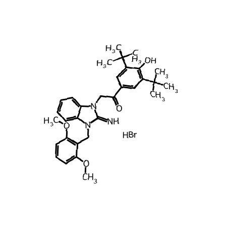 Br.COc1cccc(OC)c1Cn1c(=N)n(CC(=O)c2cc(C(C)(C)C)c(O)c(C(C)(C)C)c2)c2ccccc21